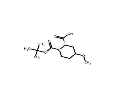 COC1CCN(C(=O)OC(C)(C)C)[C@H](C(=O)O)C1